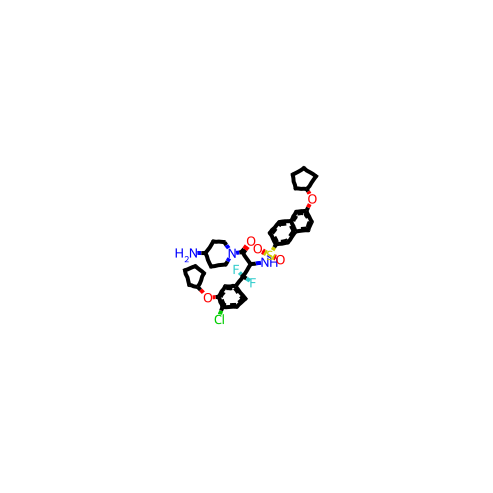 NC1CCN(C(=O)C(NS(=O)(=O)c2ccc3cc(OC4CCCC4)ccc3c2)C(F)(F)c2ccc(Cl)c(OC3CCCC3)c2)CC1